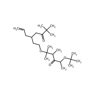 C=CCC(CCOC(C)(C)C(C)C(=O)C(C)OC(C)(C)C)CC(=O)C(C)(C)C